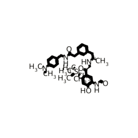 C[C@H](Cc1cccc(CC(=O)NCc2ccc(N(C)C)cc2)c1)NC[C@H](O[Si](C)(C)C(C)(C)C)c1ccc(O)c(NC=O)c1